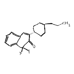 CCC[C@H]1CC[C@H](C2=Cc3ccccc3C(F)(F)C2=O)CC1